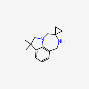 CC1(C)CN2CC3(CC3)NCc3cccc1c32